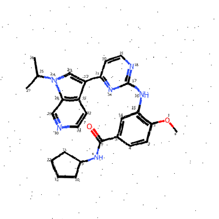 COc1ccc(C(=O)NC2CCCC2)cc1Nc1nccc(-c2cn(C(C)C)c3cnccc23)n1